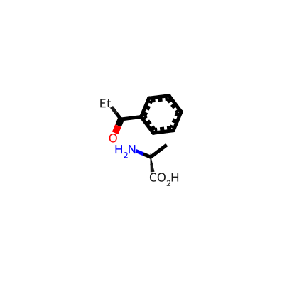 CCC(=O)c1ccccc1.C[C@H](N)C(=O)O